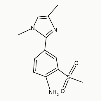 Cc1cn(C)c(-c2ccc(N)c(S(C)(=O)=O)c2)n1